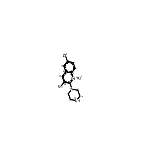 Cl.Clc1ccc2nc(N3CCNCC3)c(Br)cc2c1